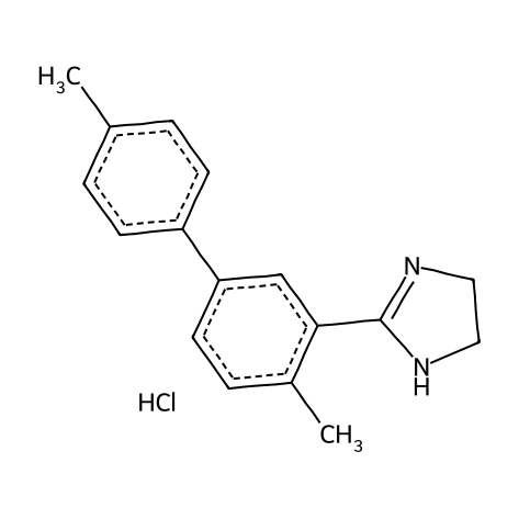 Cc1ccc(-c2ccc(C)c(C3=NCCN3)c2)cc1.Cl